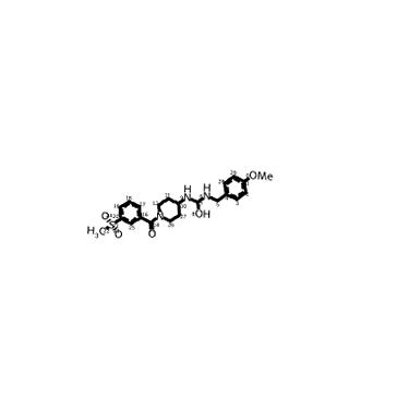 COc1ccc(CNC(O)NC2CCN(C(=O)c3cccc(S(C)(=O)=O)c3)CC2)cc1